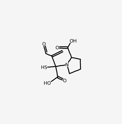 C=C(C=O)C(S)(C(=O)O)N1CCCC1C(=O)O